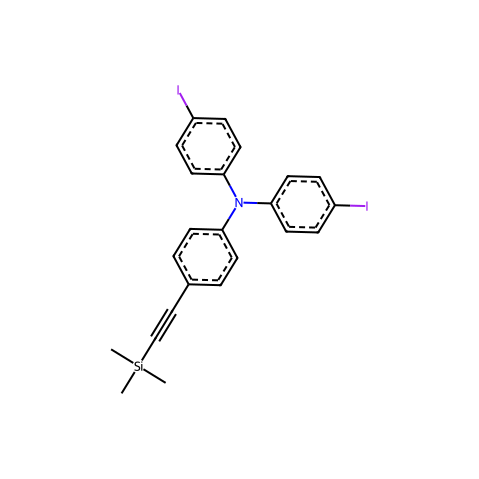 C[Si](C)(C)C#Cc1ccc(N(c2ccc(I)cc2)c2ccc(I)cc2)cc1